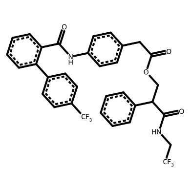 O=C(Cc1ccc(NC(=O)c2ccccc2-c2ccc(C(F)(F)F)cc2)cc1)OCC(C(=O)NCC(F)(F)F)c1ccccc1